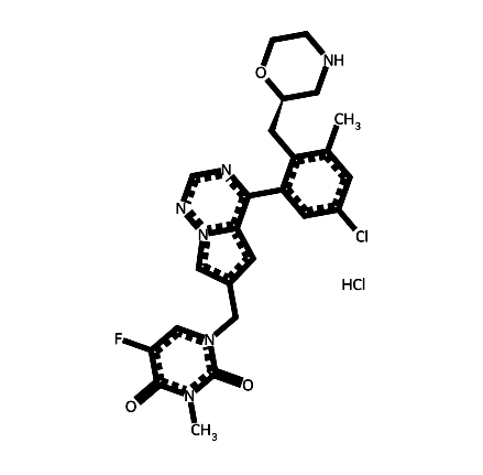 Cc1cc(Cl)cc(-c2ncnn3cc(Cn4cc(F)c(=O)n(C)c4=O)cc23)c1C[C@@H]1CNCCO1.Cl